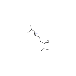 CC(C)/C=C/CCC(=O)C(C)C